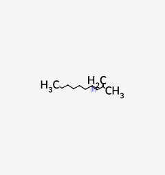 C=C(C)/C=C/CCCCCC